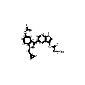 CC(C)(C)NC(=O)Oc1c[nH]c2ncc(-c3nn(CC4CC4)c4ccc(OC(F)F)cc34)nc12